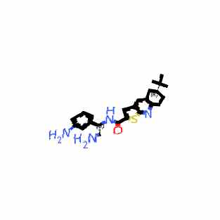 CC(C)(C)[C@@H]1CCc2nc3sc(C(=O)N[C@H](CN)c4cccc(N)c4)cc3cc2C1